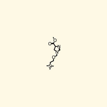 COC(=O)C1CN(COCC[Si](C)(C)C)C=N1